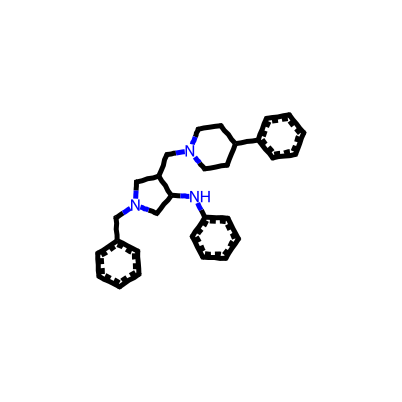 c1ccc(CN2CC(CN3CCC(c4ccccc4)CC3)C(Nc3ccccc3)C2)cc1